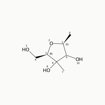 C[C@@H]1O[C@H](CO)C(C)(O)C1O